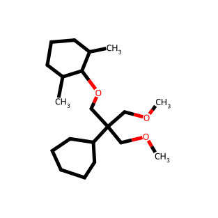 COCC(COC)(COC1C(C)CCCC1C)C1CCCCC1